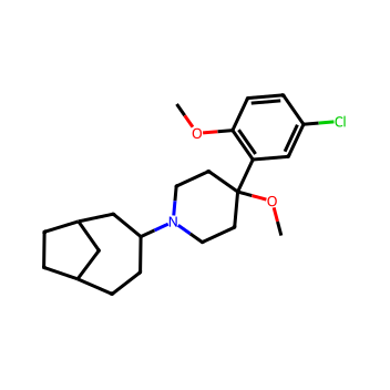 COc1ccc(Cl)cc1C1(OC)CCN(C2CCC3CCC(C3)C2)CC1